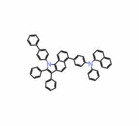 c1ccc(-c2ccc(-n3c(-c4ccccc4)c(-c4ccccc4)c4ccc5c(-c6ccc(N(c7ccccc7)c7cccc8ccccc78)cc6)cccc5c43)cc2)cc1